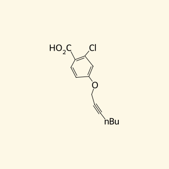 CCCCC#CCOc1ccc(C(=O)O)c(Cl)c1